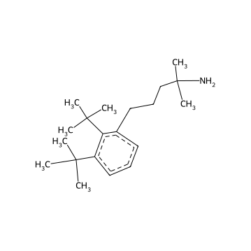 CC(C)(N)CCCc1cccc(C(C)(C)C)c1C(C)(C)C